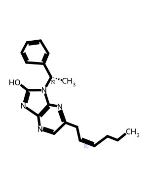 CCC/C=C\Cc1cnc2nc(O)n([C@@H](C)c3ccccc3)c2n1